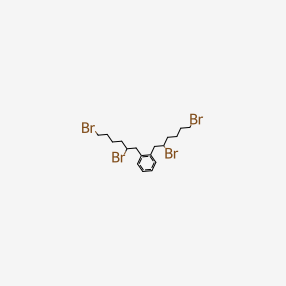 BrCCCCC(Br)Cc1ccccc1CC(Br)CCCCBr